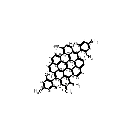 Bc1ccc2c(-c3c(C)cc(C)cc3C)c3ccc4ccc5c(C(C)Br)c6/c(=C\C=C)c(-c7c(C)cc(C)cc7C)c7ccc8ccc9c1c2c1c3c4c5c2c6c7c8c9c12